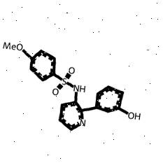 COc1ccc(S(=O)(=O)Nc2cccnc2-c2cccc(O)c2)cc1